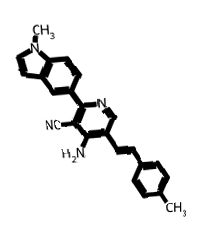 Cc1ccc(/C=C/c2cnc(-c3ccc4c(ccn4C)c3)c(C#N)c2N)cc1